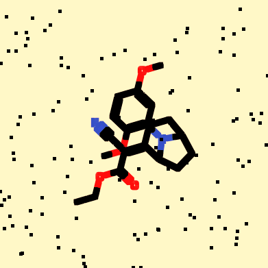 CCOC(=O)C(C#N)=C1CCC2CCC1N2c1cc(OC)ccc1OC